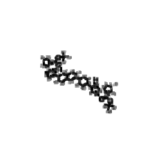 C[C@H]1C[C@@H](c2ncc(-c3ccc(-c4ccc5cc(-c6cnc([C@@H]7CCCN7C(=O)OC(C)(C)C)[nH]6)ccc5c4)cc3)[nH]2)N(C(=O)OC(C)(C)C)C1